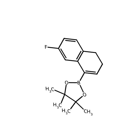 CC1(C)OB(C2=CCCc3ccc(F)cc32)OC1(C)C